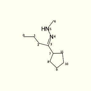 CCC/C(=N\NC)C1CCCC1